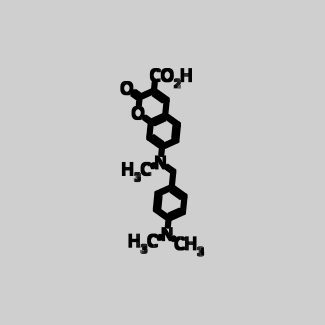 CN(C)c1ccc(CN(C)c2ccc3cc(C(=O)O)c(=O)oc3c2)cc1